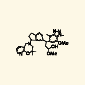 COc1cc(C(CC(O)OC)c2ccc3c(c2)C(N2Cc4cccnc4OC(C)(C)C2)CC3)c(C)c2nnn(C)c12